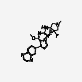 COc1nc(N[C@H]2CN(C)CC2(F)F)nn2ccc(-c3ccc4nccnc4c3)c12